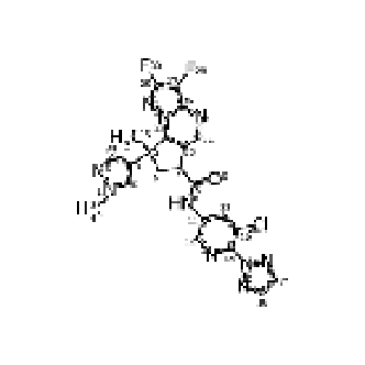 Cn1cc(C2(C)CC(C(=O)Nc3cnc(-n4nccn4)c(Cl)c3)c3cnc4c(F)c(F)nn4c32)cn1